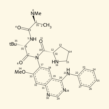 CN[C@@H](C)C(=O)N[C@H](C(=O)N(C(=O)[C@@H]1CCCN1)c1cc2c(Nc3ccccc3)ncnc2cc1OC)C(C)(C)C